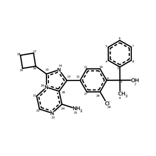 CC(O)(c1ccccc1)c1ccc(-c2nc(C3CCC3)n3ccnc(N)c23)cc1Cl